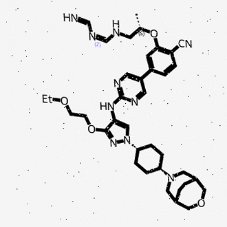 CCOCCOc1nn([C@H]2CC[C@H](N3CC4CCC(COC4)C3)CC2)cc1Nc1ncc(-c2ccc(C#N)c(O[C@@H](C)CN/C=N\C=N)c2)cn1